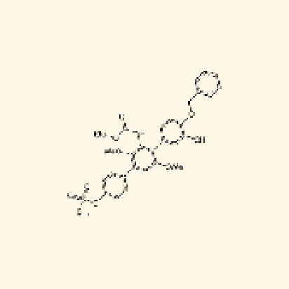 COc1cc(-c2ccc(OS(C)(=O)=O)cc2)c(OC)c(NC(=O)OC(C)(C)C)c1-c1ccc(OCc2ccccc2)c(O)c1